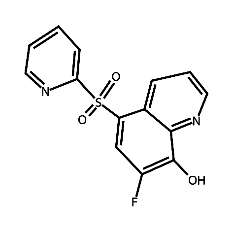 O=S(=O)(c1ccccn1)c1cc(F)c(O)c2ncccc12